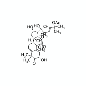 CC(=O)OC(C)(C)/C=C/C(=O)[C@](C)(O)[C@H]1[C@H](O)C[C@@]2(C)[C@@H]3CC=C4C(C)(C)C(=O)[C@@H](O)C[C@@]4(C)[C@]3(C)C(=O)C[C@]12C